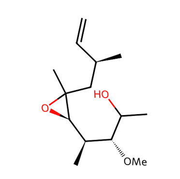 C=C[C@@H](C)CC1(C)O[C@@H]1[C@H](C)[C@@H](OC)C(C)O